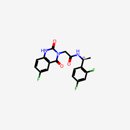 C[C@H](NC(=O)Cn1c(=O)[nH]c2ccc(F)cc2c1=O)c1ccc(F)cc1F